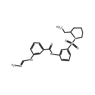 NN=CNc1cccc(C(=O)Nc2cccc(S(=O)(=O)N3CCCCC3CC(=O)O)c2)c1